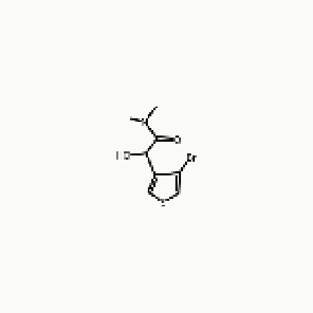 CN(C)C(=O)C(O)c1cscc1Br